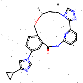 O=C1Nc2cccc(n2)-c2nncn2[C@H]2C[C@H](C2)OCc2ccc(-n3cnc(C4CC4)c3)cc21